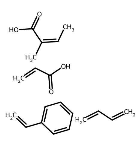 C=CC(=O)O.C=CC=C.C=Cc1ccccc1.CC=C(C)C(=O)O